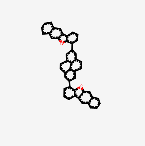 c1ccc2cc3c(cc2c1)oc1c(-c2cc4ccc5cc(-c6cccc7c6oc6cc8ccccc8cc67)cc6ccc(c2)c4c56)cccc13